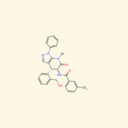 CCN1C(=O)[C@@H](NC(=O)c2cccc(C(F)(F)F)c2)[C@H](c2ccccc2CO)c2cnn(-c3ccccc3)c21